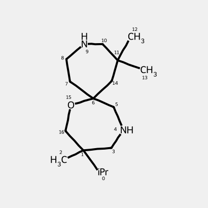 CC(C)C1(C)CNCC2(CCNCC(C)(C)C2)OC1